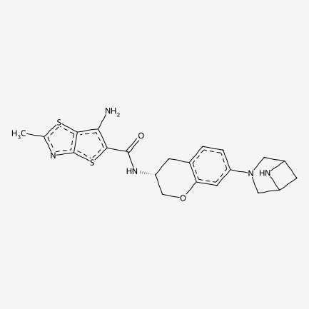 Cc1nc2sc(C(=O)N[C@H]3COc4cc(N5CC6CC(C5)N6)ccc4C3)c(N)c2s1